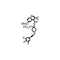 COc1ccc2ncc(N(C)C)c(C(F)CCC3(CC(=O)O)CCN(CC#Cc4cc(F)c(F)c(F)c4)CC3)c2c1